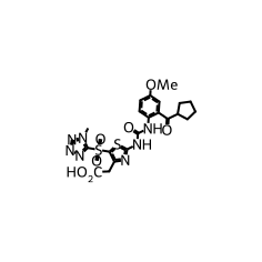 COc1ccc(NC(=O)Nc2nc(CC(=O)O)c(S(=O)(=O)c3nnnn3C)s2)c(C(=O)C2CCCC2)c1